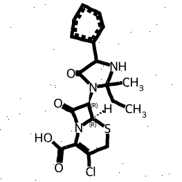 CCC1(C)NC(c2ccccc2)C(=O)N1[C@@H]1C(=O)N2C(C(=O)O)=C(Cl)CS[C@H]12